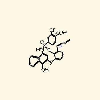 C=C/C=C\c1cccc(Sc2cc(NS(=O)(=O)c3ccc(O)c(C(F)(F)F)c3)c3ccccc3c2O)c1C